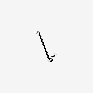 CCCCCCCCCCCCCCC=CCC1NCCN1CCN